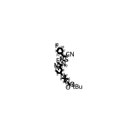 CCc1nn2ccc(N3CC4(CN(C(=O)OC(C)(C)C)C4)C3)cc2c1N(C)c1nc(-c2ccc(F)cc2)c(C#N)s1